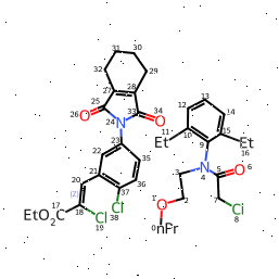 CCCOCCN(C(=O)CCl)c1c(CC)cccc1CC.CCOC(=O)/C(Cl)=C/c1cc(N2C(=O)C3=C(CCCC3)C2=O)ccc1Cl